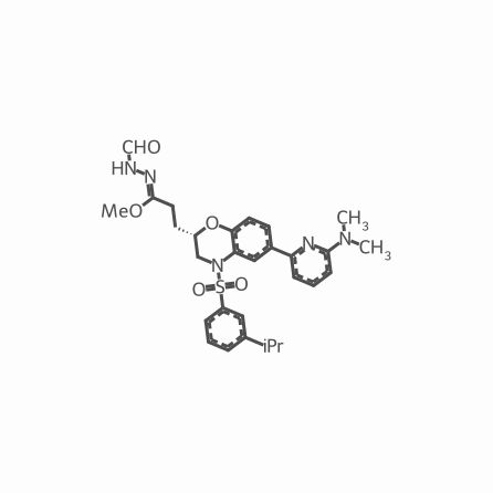 CO/C(CC[C@H]1CN(S(=O)(=O)c2cccc(C(C)C)c2)c2cc(-c3cccc(N(C)C)n3)ccc2O1)=N\NC=O